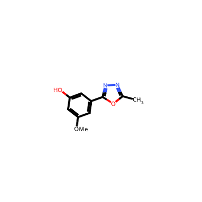 COc1cc(O)cc(-c2nnc(C)o2)c1